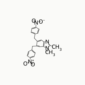 Cc1nc2cc(Cc3ccc([N+](=O)[O-])cc3)c(Cc3ccc([N+](=O)[O-])cc3)cc2n1C